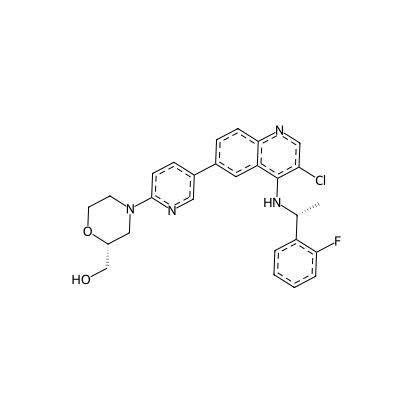 C[C@@H](Nc1c(Cl)cnc2ccc(-c3ccc(N4CCO[C@@H](CO)C4)nc3)cc12)c1ccccc1F